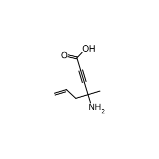 C=CCC(C)(N)C#CC(=O)O